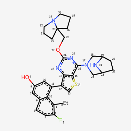 CCc1c(F)ccc2cc(O)cc(-c3csc4c(N5CC6CCC(C5)N6)nc(OCC56CCCN5CCC6)nc34)c12